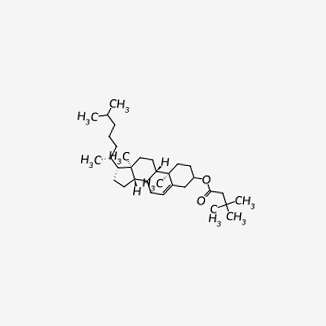 CC(C)CCC[C@@H](C)[C@H]1CC[C@H]2C3CC=C4CC(OC(=O)CC(C)(C)C)CC[C@]4(C)[C@H]3CC[C@]12C